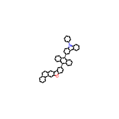 c1ccc(-n2c3ccccc3c3cc(-c4c5ccccc5c(-c5ccc6oc7cc8c(ccc9ccccc98)cc7c6c5)c5ccccc45)ccc32)cc1